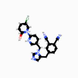 N#Cc1ccc(Cc2cncn2Cc2ccc(-n3cc(Cl)ccc3=O)nc2)cc1C#N